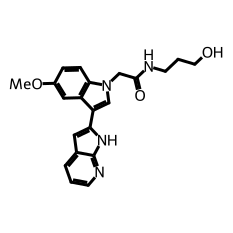 COc1ccc2c(c1)c(-c1cc3cccnc3[nH]1)cn2CC(=O)NCCCO